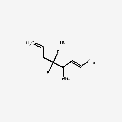 C=CCC(F)(F)C(N)C=CC.Cl